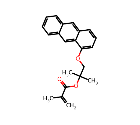 C=C(C)C(=O)OC(C)(C)COc1cccc2cc3ccccc3cc12